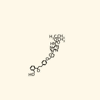 CC(C)(C)OC(=O)Nc1ncnc2c1ncn2C1CCC(COc2ccc(CCC(=O)c3ccccc3CO)cc2)O1